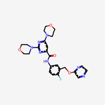 O=C(Nc1ccc(F)c(COc2cnccn2)c1)c1cc(N2CCOCC2)nc(N2CCOCC2)n1